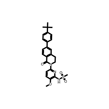 COc1ccc(N2CCc3cc(-c4ccc(C(C)(C)C)cc4)ccc3C2=O)nc1NS(C)(=O)=O